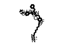 CC(C)(C)[Si](C)(C)Oc1ccc(-c2cn3c(=O)c(Cc4ccc(OCCCCCCCCN=[N+]=[N-])c(F)c4)nc-3c(Cc3ccccc3)[nH]2)cc1